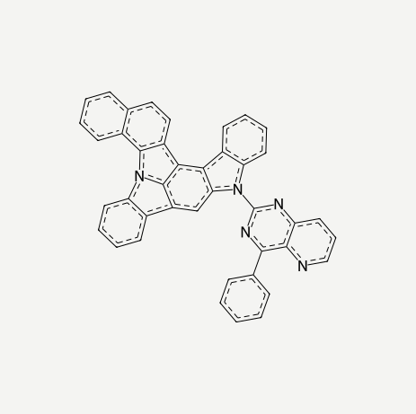 c1ccc(-c2nc(-n3c4ccccc4c4c5c6ccc7ccccc7c6n6c7ccccc7c(cc43)c56)nc3cccnc23)cc1